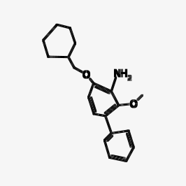 COc1c(-c2ccccc2)ccc(OCC2CCCCC2)c1N